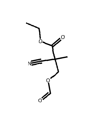 CCOC(=O)C(C)(C#N)COC=O